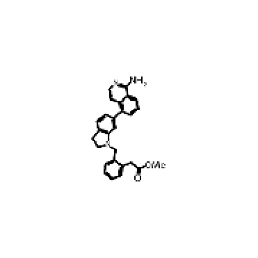 COC(=O)Cc1ccccc1CN1CCc2ccc(-c3cccc4c(N)nccc34)cc21